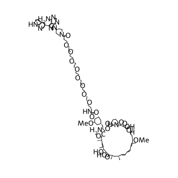 CO[C@H]1C[C@@H]2CC[C@@H](C)[C@@](O)(O2)C(=O)C(=O)N2CCCC[C@H]2C(=O)O[C@H]([C@H](N)C[C@@H]2CC[C@@H](OC(=O)NCCOCCOCCOCCOCCOCCOCCOCCOCCC(=O)N3CCC(n4nc(-c5cnc6[nH]ccc6c5)c5c(N)ncnc54)CC3)[C@H](OC)C2)CC(=O)[C@H](C)/C=C(\C)[C@@H](O)[C@@H](O)C(=O)[C@H](C)C[C@H](C)/C=C/C=C/C=C/1C